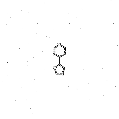 c1cc(-c2cnco2)ncn1